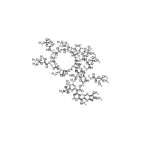 Cc1ccc(N(C(=O)OCC(=O)N[C@@H](CCNC(=O)OC(C)(C)C)C(=O)N[C@H](C(=O)N[C@@H](CCNC(=O)OC(C)(C)C)C(=O)N[C@H]2CCNC(=O)[C@H]([C@@H](C)O)NC(=O)[C@H](CCNC(=O)OC(C)(C)C)NC(=O)[C@H](CCNC(=O)OC(C)(C)C)NC(=O)[C@H](CC(C)C)NC(=O)[C@@H](Cc3ccccc3)NC(=O)[C@H](CCNC(=O)OC(C)(C)C)NC2=O)[C@@H](C)O)c2nccc(N(C)c3ccc4c(C)n(C)nc4c3)n2)cc1S(N)(=O)=O